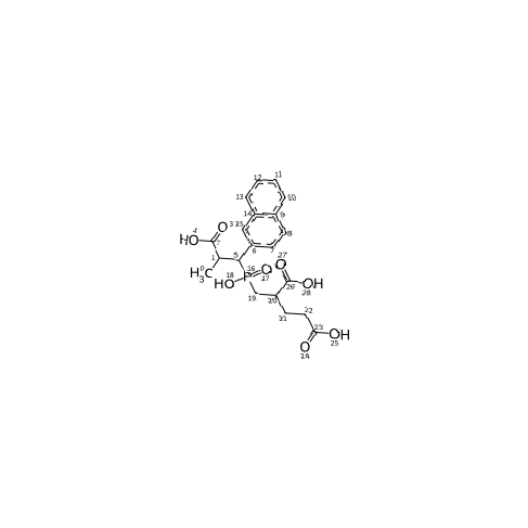 CC(C(=O)O)C(c1ccc2ccccc2c1)P(=O)(O)CC(CCC(=O)O)C(=O)O